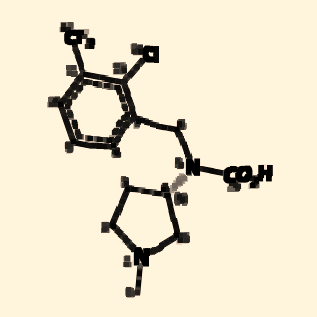 CN1CC[C@H](N(Cc2cccc(C(F)(F)F)c2Cl)C(=O)O)C1